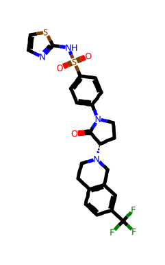 O=C1[C@@H](N2CCc3ccc(C(F)(F)F)cc3C2)CCN1c1ccc(S(=O)(=O)Nc2nccs2)cc1